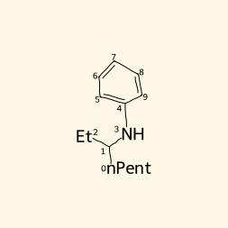 C[CH]CCCC(CC)Nc1ccccc1